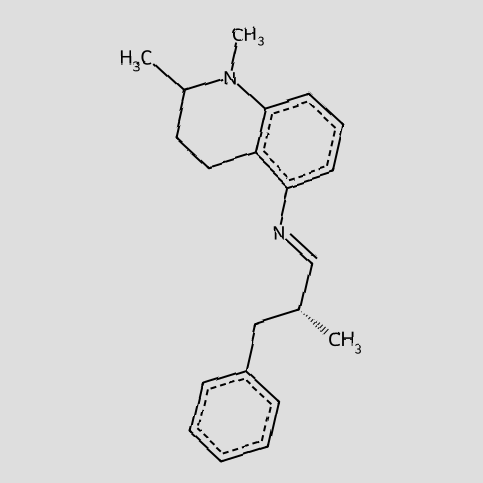 CC1CCc2c(/N=C/[C@H](C)Cc3ccccc3)cccc2N1C